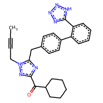 CC#CCn1nc(C(=O)C2CCCCC2)nc1Cc1ccc(-c2ccccc2-c2nnn[nH]2)cc1